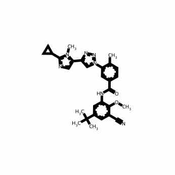 COc1c(C#N)cc(C(C)(C)C)cc1NC(=O)c1ccc(C)c(-n2cc(-c3cnc(C4CC4)n3C)nn2)c1